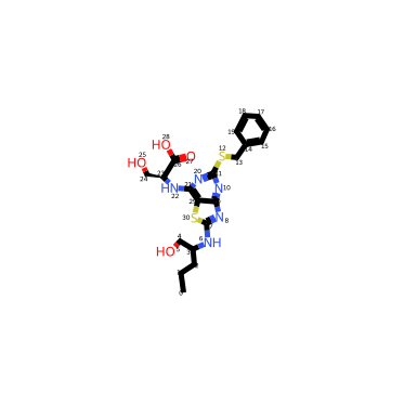 CCCC(CO)Nc1nc2nc(SCc3ccccc3)nc(N[C@@H](CO)C(=O)O)c2s1